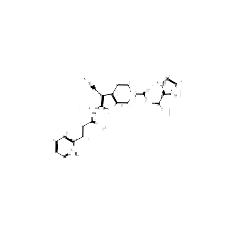 CC(OC(=O)N1CCc2c(sc(NC(=O)CCc3ccccn3)c2C#N)C1)c1ncc[nH]1